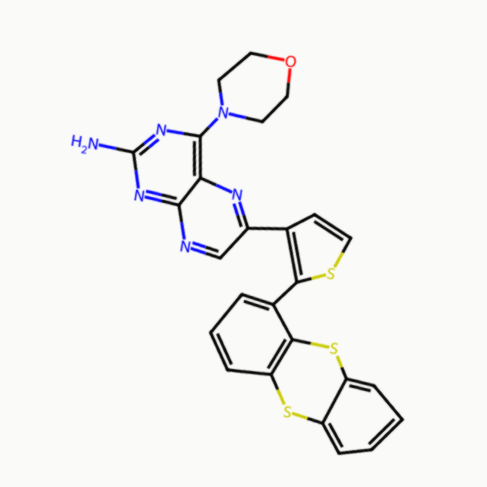 Nc1nc(N2CCOCC2)c2nc(-c3ccsc3-c3cccc4c3Sc3ccccc3S4)cnc2n1